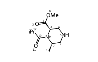 COC(=O)[C@H]1CNC[C@@H](C)N1C(=O)C(C)C